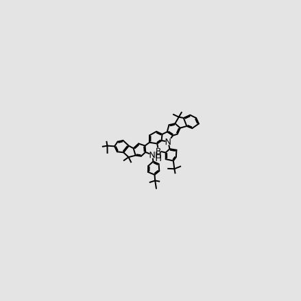 CC(C)(C)c1ccc(Nc2cc3c(cc2-c2ccc4c5cc6c(cc5n5c4c2Bc2cc(C(C)(C)C)ccc2-5)-c2ccccc2C6(C)C)-c2ccc(C(C)(C)C)cc2C3(C)C)cc1